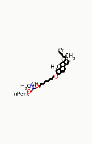 CCCCCOC[C@@H](COCCCCCCCCO[C@H]1CC[C@@]2(C)C(=CCC3C2CC[C@@]2(C)C3CC[C@@H]2[C@H](C)CCCC(C)C)C1)N(C)C